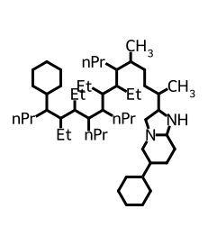 CCCC(C(C)CCC(C)C1CN2CC(C3CCCCC3)CCC2N1)C(CC)C(CC)C(CCC)C(CCC)C(CC)C(CC)C(CCC)C1CCCCC1